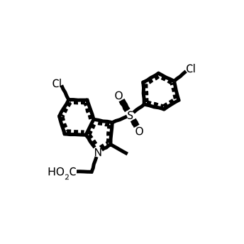 Cc1c(S(=O)(=O)c2ccc(Cl)cc2)c2cc(Cl)ccc2n1CC(=O)O